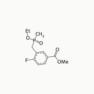 CCOP(C)(=O)Cc1cc(C(=O)OC)ccc1F